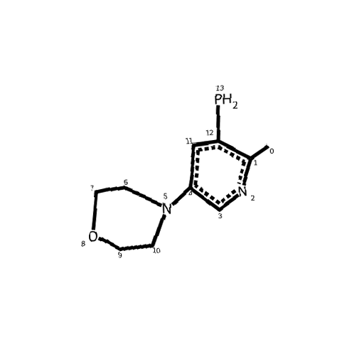 Cc1ncc(N2CCOCC2)cc1P